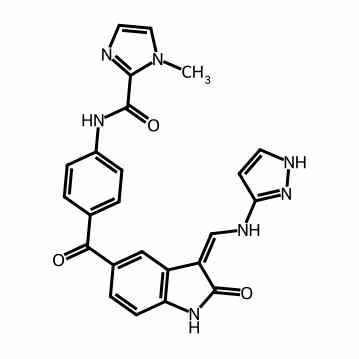 Cn1ccnc1C(=O)Nc1ccc(C(=O)c2ccc3c(c2)/C(=C/Nc2cc[nH]n2)C(=O)N3)cc1